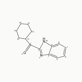 O=C(c1nc2ccccc2[nH]1)C1CCCCC1